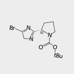 CC(C)(C)OC(=O)N1CCC[C@H]1C1=NCC(Br)=N1